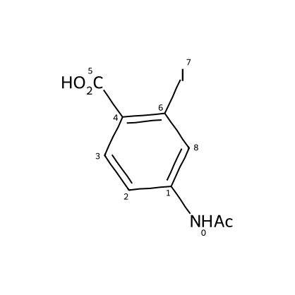 CC(=O)Nc1ccc(C(=O)O)c(I)c1